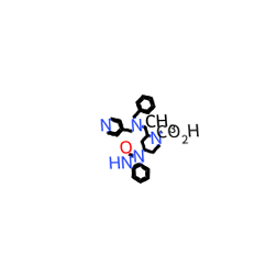 CC(C1CC(n2c(=O)[nH]c3ccccc32)CCN1C(=O)O)N(Cc1ccccc1)Cc1ccncc1